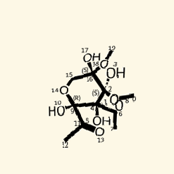 CO[C@@]1(O)[C@](O)(C(C)=O)[C@](O)(C(C)=O)OC[C@]1(O)OC